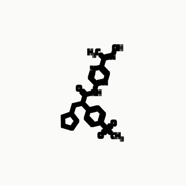 C/C(=N\O)c1cnc(NC(=O)C(CC2CCCC2)c2ccc(S(C)(=O)=O)cc2)cn1